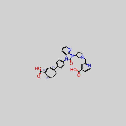 O=C(O)C1=C/C=C(/c2ccc(-n3c(=O)n(C4CCN(Cc5cc(C(=O)O)ccn5)C4)c4ncccc43)cc2)CC/C=C\1